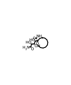 NC(=O)[C@@H](O)[C@@H](O)[C@H](O)[C@@]1(C(N)=O)CCCCCCCCCCO1